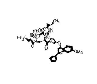 C=C[C@@H]1C[C@]1(NC(=O)[C@@H]1C[C@@H](Oc2cc(-c3ccccc3)nc3cc(OC)ccc23)CN1C(=O)[C@H](CNC(=O)/C=C/C)NC(=O)OC(C)(C)C)C(=O)OCC